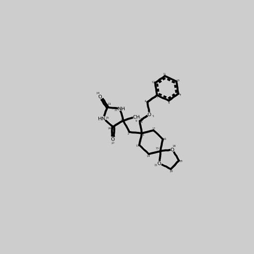 CC1(CC2(COCc3ccccc3)CCC3(CC2)OCCO3)NC(=O)NC1=O